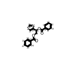 O=C(OCC(OC(=O)c1ccccc1)c1cs[c]n1)c1ccccc1